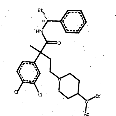 CC[C@@H](NC(=O)C(C)(CCN1CCC(N(CC)C(C)=O)CC1)c1ccc(Cl)c(Cl)c1)c1ccccc1